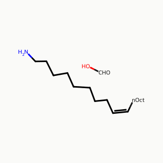 CCCCCCCC/C=C\CCCCCCCCN.O=CO